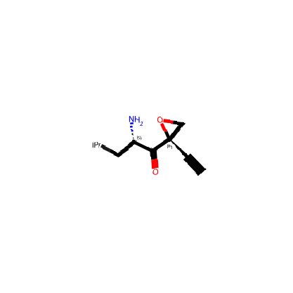 C#C[C@]1(C(=O)[C@@H](N)CC(C)C)CO1